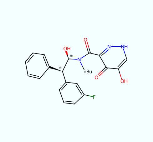 CCCCN(C(=O)c1n[nH]cc(O)c1=O)[C@H](O)[C@H](c1ccccc1)c1cccc(F)c1